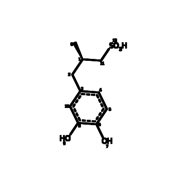 C[C@H](Cc1ccc(O)c(O)c1)CS(=O)(=O)O